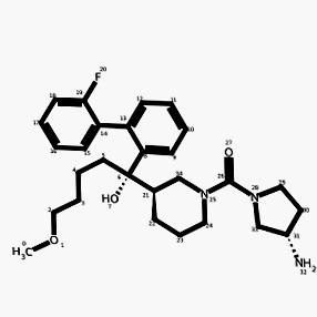 COCCCC[C@@](O)(c1ccccc1-c1ccccc1F)[C@@H]1CCCN(C(=O)N2CC[C@H](N)C2)C1